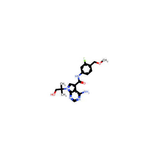 COCc1ccc(NC(=O)c2cn(C(C)(C)CO)c3ncnc(N)c23)cc1F